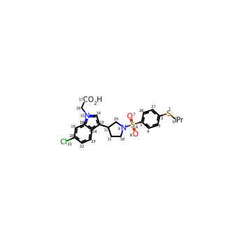 CC(C)Sc1ccc(S(=O)(=O)N2CCC(c3cn(CC(=O)O)c4cc(Cl)ccc34)C2)cc1